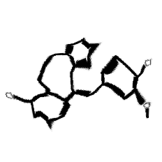 COc1cc(/C=C2\c3ccccc3CCc3c(Cl)cccc32)ccc1Cl